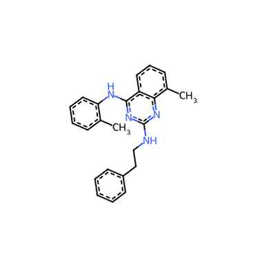 Cc1ccccc1Nc1nc(NCCc2ccccc2)nc2c(C)cccc12